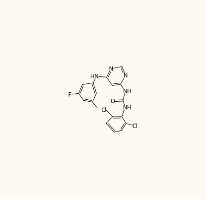 Cc1cc(F)cc(Nc2cc(NC(=O)Nc3c(Cl)cccc3Cl)ncn2)c1